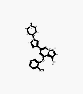 N#Cc1ccccc1Sc1cc(-c2cnn(C3CCNCC3)c2)cn2ncc(C#N)c12